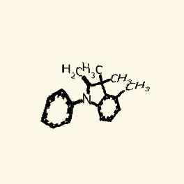 C=C1N(c2ccccc2)c2cccc(C)c2C1(C)C